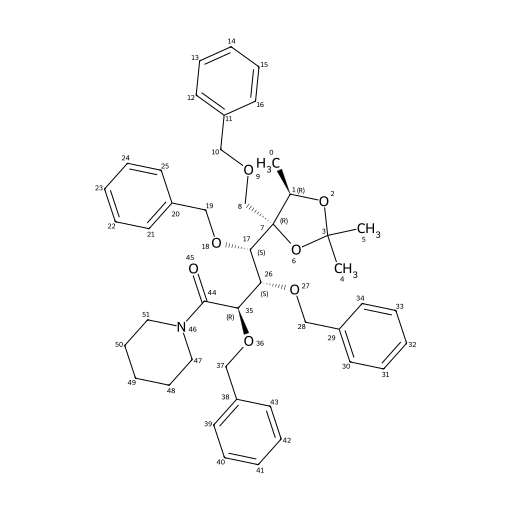 C[C@H]1OC(C)(C)O[C@@]1(COCc1ccccc1)[C@@H](OCc1ccccc1)[C@H](OCc1ccccc1)[C@@H](OCc1ccccc1)C(=O)N1CCCCC1